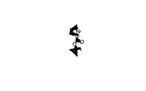 CC1(OC(=O)n2c[c]cn2)CC1